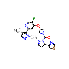 Cc1cnn(C)c1-c1cc(OC2CN(C(=O)N3N=CCC3c3cscn3)C2)c(F)cn1